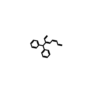 C=C/C=C\C=C(/C=C)C(c1ccccc1)c1ccccc1